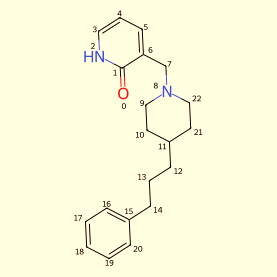 O=c1[nH]cccc1CN1CCC(CCCc2ccccc2)CC1